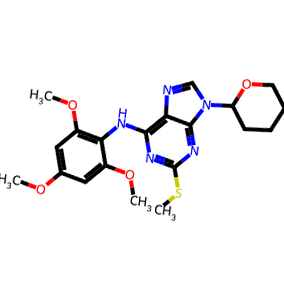 COc1cc(OC)c(Nc2nc(SC)nc3c2ncn3C2CCCCO2)c(OC)c1